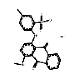 CNc1ccc(Nc2ccc(C)cc2S(=O)(=O)[O-])c2c1C(=O)c1ccccc1C2=O.[Na+]